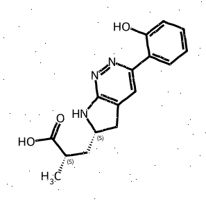 C[C@@H](C[C@H]1Cc2cc(-c3ccccc3O)nnc2N1)C(=O)O